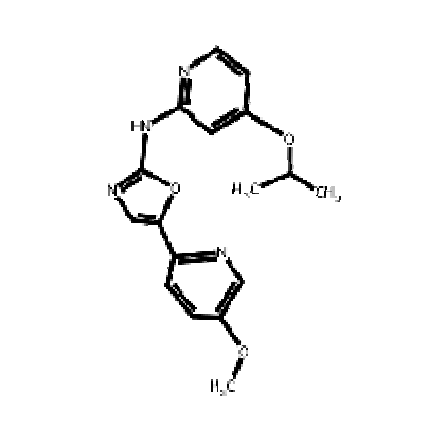 COc1ccc(-c2cnc(Nc3cc(OC(C)C)ccn3)o2)nc1